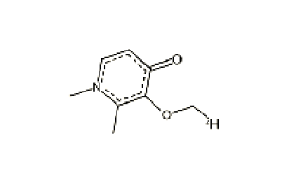 [2H]COc1c(C)n(C)ccc1=O